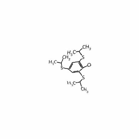 CC(C)Sc1cc(SC(C)C)c([O])c(SC(C)C)c1